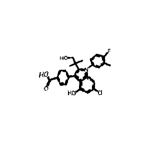 Cc1cc(-n2c(C(C)(C)CO)c(-c3ccc(C(=O)O)cc3)c3c(O)cc(Cl)cc32)ccc1F